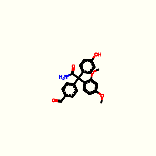 COc1ccc(C(C(N)=O)(c2ccc(O)cc2)c2ccc(C=O)cc2)c(OC)c1